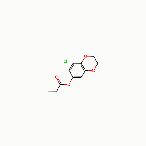 CCC(=O)Oc1ccc2c(c1)OCCO2.Cl